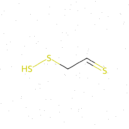 S=CCSS